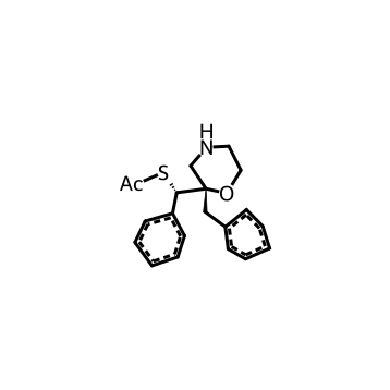 CC(=O)S[C@@H](c1ccccc1)[C@]1(Cc2ccccc2)CNCCO1